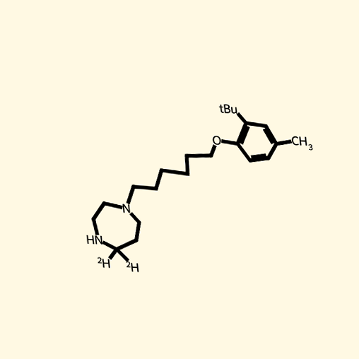 [2H]C1([2H])CCN(CCCCCCOc2ccc(C)cc2C(C)(C)C)CCN1